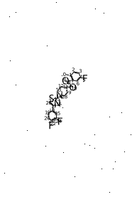 Cc1ccc(F)cc1S(=O)(=O)C1CCN(c2nc(-c3ccc(F)c(F)c3)cs2)CC1